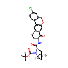 CC(C)(C)OC(=O)N1C(C(=O)NC2CCc3cc4c(cc3C2=O)OCc2cc(Cl)ccc2-4)C[C@H]2C[C@H]21